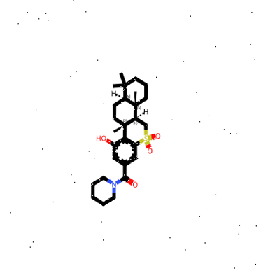 CC1(C)CCC[C@]2(C)[C@H]3CS(=O)(=O)c4cc(C(=O)N5CCCCC5)cc(O)c4[C@]3(C)CC[C@@H]12